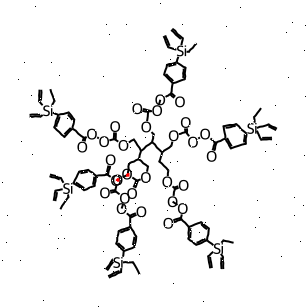 C=C[Si](C=C)(CC)c1ccc(C(=O)OOC(=O)OCCC(COC(=O)OOC(=O)c2ccc([Si](C=C)(C=C)CC)cc2)C(COC(=O)OOC(=O)c2ccc([Si](C=C)(C=C)CC)cc2)C(COC(=O)OOC(=O)c2ccc([Si](C=C)(C=C)CC)cc2)C(CCOC(=O)OOC(=O)c2ccc([Si](C=C)(C=C)CC)cc2)COC(=O)OOC(=O)c2ccc([Si](C=C)(C=C)CC)cc2)cc1